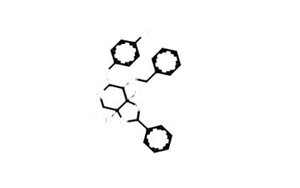 C[C@@H]1O[C@H](Sc2ccc(Cl)cc2)[C@@H](OCc2ccccc2)[C@@H]2OC(c3ccccc3)O[C@@H]21